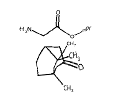 CC12CCC(CC1=O)C2(C)C.CCCOC(=O)CN